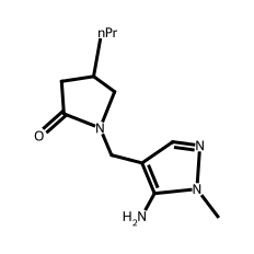 CCCC1CC(=O)N(Cc2cnn(C)c2N)C1